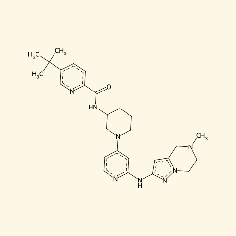 CN1CCn2nc(Nc3cc(N4CCCC(NC(=O)c5ccc(C(C)(C)C)cn5)C4)ccn3)cc2C1